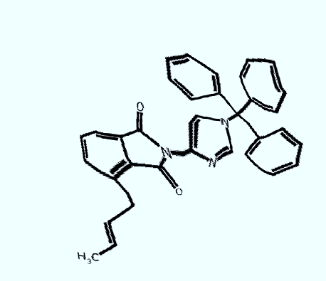 CC=CCc1cccc2c1C(=O)N(c1cn(C(c3ccccc3)(c3ccccc3)c3ccccc3)cn1)C2=O